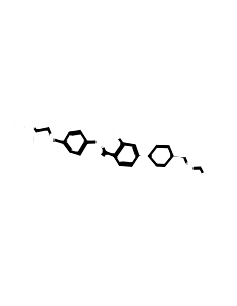 CCC[SiH2]c1ccc(OC(=O)c2ccc([C@H]3CC[C@H](COCC)CC3)cc2F)cc1